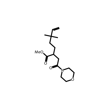 C=CC(C)(C)CCC(CC(=O)N1CCOCC1)C(=O)OC